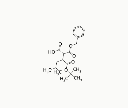 CC(C)CC(C(=O)OC(C)(C)C)C(C(=O)O)C(=O)OCc1ccccc1